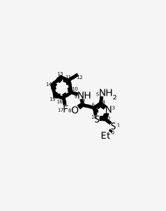 CCSc1nc(N)c(C(=O)Nc2c(C)cccc2F)s1